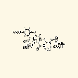 COc1ccc(CC(CN(CCN(CC(=O)O)CC(=O)OC(C)(C)C)CC(=O)OC(C)(C)C)N(CC(=O)O)CC(=O)OC(C)(C)C)cc1